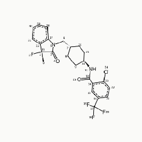 C[C@]1(F)C(=O)N(C[C@H]2CC[C@H](NC(=O)c3cc(C(F)(F)F)ccc3Cl)CC2)c2ccccc21